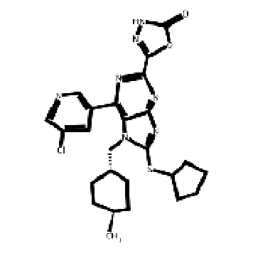 C[C@H]1CC[C@H](Cn2c(SC3CCCC3)nc3nc(-c4n[nH]c(=O)o4)nc(-c4cncc(Cl)c4)c32)CC1